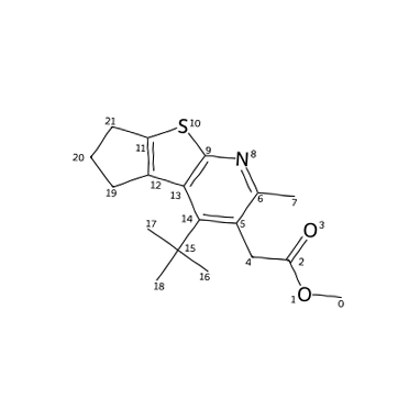 COC(=O)Cc1c(C)nc2sc3c(c2c1C(C)(C)C)CCC3